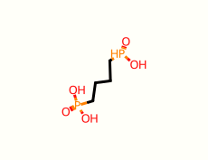 O=[PH](O)CCCCP(=O)(O)O